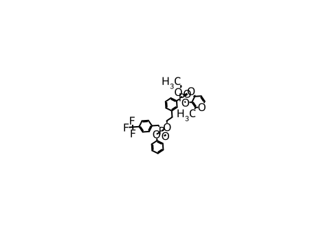 CCOP(=O)(Oc1c(C)occc1=O)c1cccc(CCOP(=O)(Cc2ccc(C(F)(F)F)cc2)Oc2ccccc2)c1